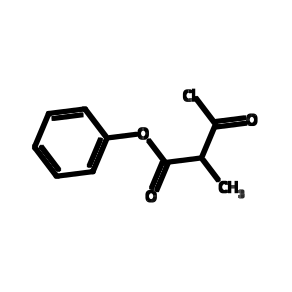 CC(C(=O)Cl)C(=O)Oc1ccccc1